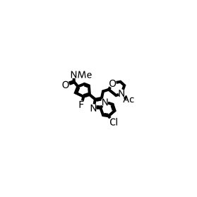 CNC(=O)c1ccc(-c2nc3cc(Cl)ccn3c2CC2CN(C(C)=O)CCO2)c(F)c1